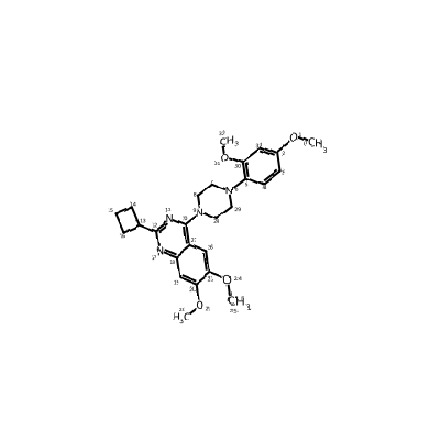 COc1ccc(N2CCN(c3nc(C4CCC4)nc4cc(OC)c(OC)cc34)CC2)c(OC)c1